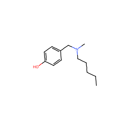 CCCCCN(C)Cc1ccc(O)cc1